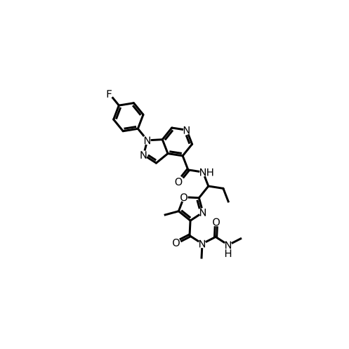 CCC(NC(=O)c1cncc2c1cnn2-c1ccc(F)cc1)c1nc(C(=O)N(C)C(=O)NC)c(C)o1